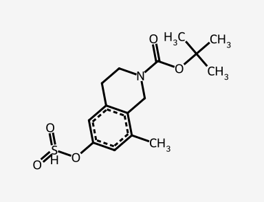 Cc1cc(O[SH](=O)=O)cc2c1CN(C(=O)OC(C)(C)C)CC2